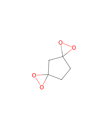 C1CC2(CC13OO3)OO2